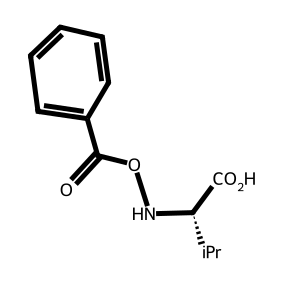 CC(C)[C@H](NOC(=O)c1ccccc1)C(=O)O